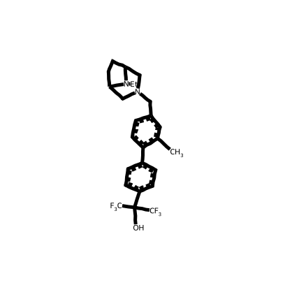 CCN1C2CCC1CN(Cc1ccc(-c3ccc(C(O)(C(F)(F)F)C(F)(F)F)cc3)c(C)c1)C2